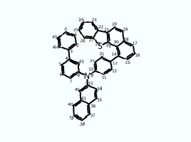 c1ccc(-c2cccc(N(c3ccc(-c4cccc5ccc6c7ccccc7sc6c45)cc3)c3ccc4ccccc4c3)c2)cc1